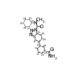 CN(C(=O)n1nnc2cc(-c3cccc(C(N)=O)c3)ccc21)C1CCCCC1